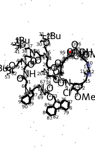 COc1cc2cc(c1Cl)N(C)C(=O)C[C@H](OC(=O)[C@H](C)N(C)C(=O)CCN(CCO[Si](C)(C)C(C)(C)C)C(=O)CN(CCO[Si](C)(C)C(C)(C)C)C(=O)CN(CCO[Si](C)(C)C(C)(C)C)C(=O)CNC(=O)CCn1c(CN(C)N(C)C(=O)OCC3c4ccccc4-c4ccccc43)cc3ccccc31)[C@]1(C)OC1[C@H](C)[C@@H]1C[C@@](O)(NC(=O)O1)[C@H](OC)/C=C/C=C(\C)C2